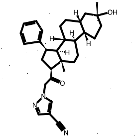 C[C@@]1(O)CC[C@H]2[C@H](CC[C@@H]3[C@@H]2CC[C@@]2(C)[C@H]3[C@H](c3ccccc3)C[C@@H]2C(=O)Cn2cc(C#N)cn2)C1